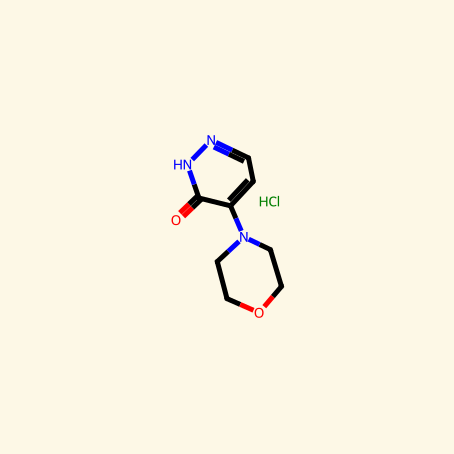 Cl.O=c1[nH]nccc1N1CCOCC1